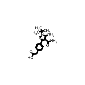 CC(C)(C)n1nc(-c2ccc(CC(=O)O)cc2)c(C(N)=O)c1N